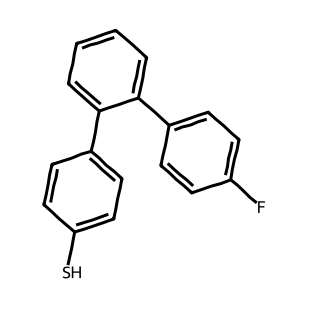 Fc1ccc(-c2ccccc2-c2ccc(S)cc2)cc1